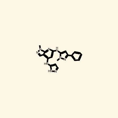 Cn1nc(-c2ccccc2)cc1Nc1cc(Nc2ccn[nH]2)c2cnn(C)c2n1